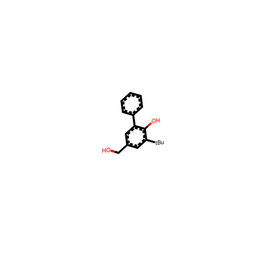 CC(C)(C)c1cc(CO)cc(-c2ccccc2)c1O